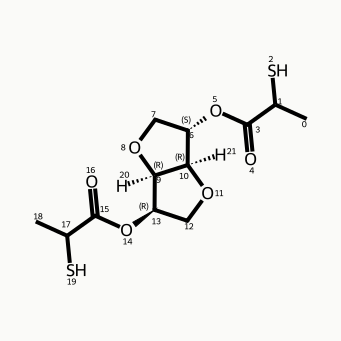 CC(S)C(=O)O[C@H]1CO[C@H]2[C@@H]1OC[C@H]2OC(=O)C(C)S